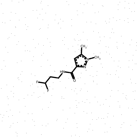 Cc1cc(C(=O)NCCC(F)F)nn1C